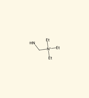 CC[N+](CC)(CC)C[NH]